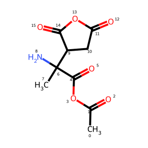 CC(=O)OC(=O)C(C)(N)C1CC(=O)OC1=O